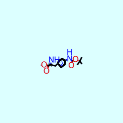 COC(=O)[C@@H](N)Cc1ccc(NC(=O)OC(C)(C)C)cc1